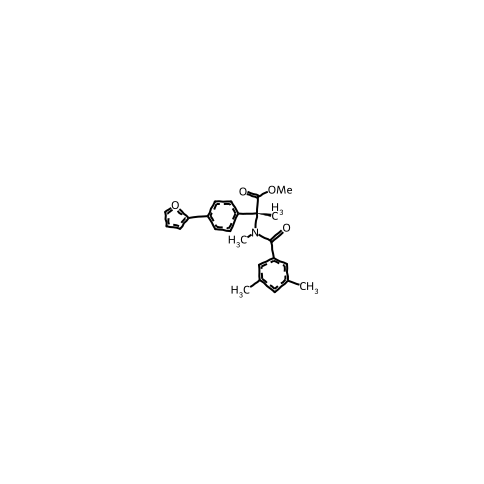 COC(=O)[C@@](C)(c1ccc(-c2ccco2)cc1)N(C)C(=O)c1cc(C)cc(C)c1